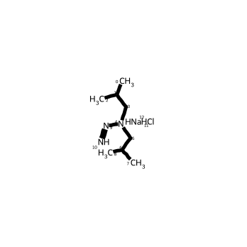 CC(C)CN(CC(C)C)N=N.Cl.[NaH]